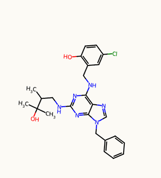 CC(CNc1nc(NCc2cc(Cl)ccc2O)c2ncn(Cc3ccccc3)c2n1)C(C)(C)O